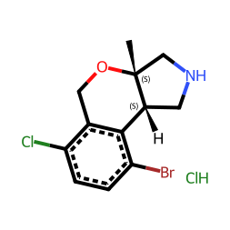 C[C@@]12CNC[C@@H]1c1c(Br)ccc(Cl)c1CO2.Cl